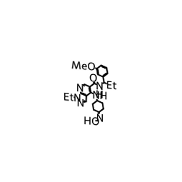 CCC(NC(=O)c1cnc2c(cnn2CC)c1NC1CCC(=NO)CC1)c1cccc(OC)c1